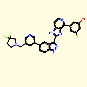 Oc1cc(F)cc(-c2nccc3[nH]c(-c4n[nH]c5ccc(-c6cncc(CN7CCC(F)(F)C7)c6)cc45)nc23)c1